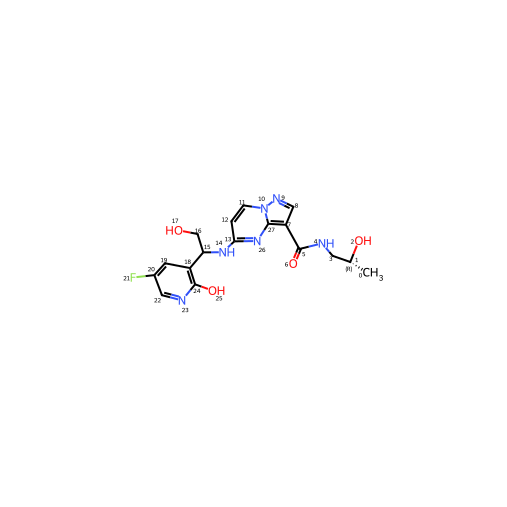 C[C@@H](O)CNC(=O)c1cnn2ccc(NC(CO)c3cc(F)cnc3O)nc12